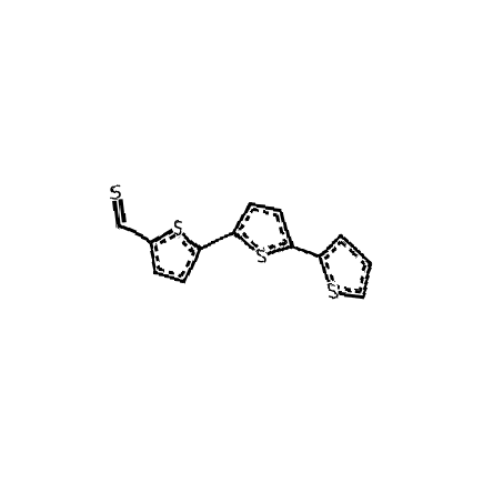 S=Cc1ccc(-c2ccc(-c3cccs3)s2)s1